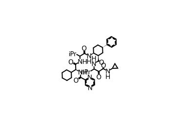 CCCC(NC(=O)[C@@H]1C[C@@H](c2ccccc2)CC[C@@H]1NC(=O)C(NC(=O)[C@@H](NC(=O)c1cnccn1)C1CCCCC1)C(C)C)C(=O)C(=O)NC1CC1